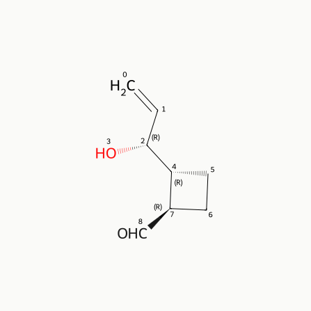 C=C[C@@H](O)[C@@H]1CC[C@H]1C=O